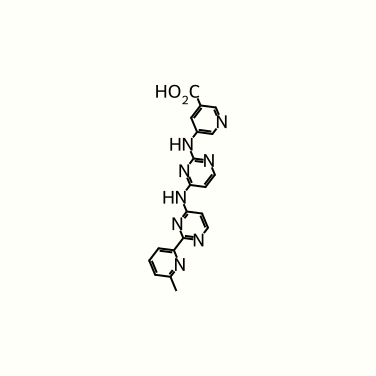 Cc1cccc(-c2nccc(Nc3ccnc(Nc4cncc(C(=O)O)c4)n3)n2)n1